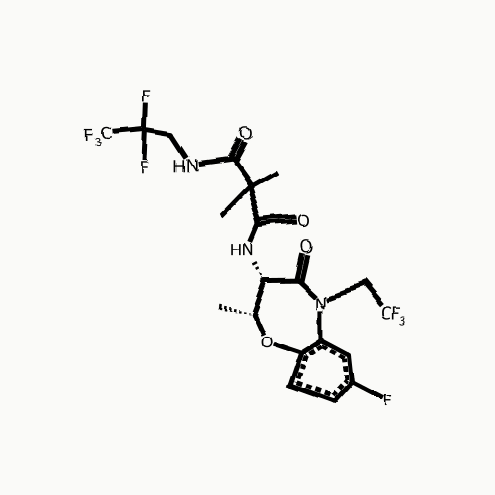 C[C@H]1Oc2ccc(F)cc2N(CC(F)(F)F)C(=O)[C@H]1NC(=O)C(C)(C)C(=O)NCC(F)(F)C(F)(F)F